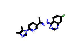 C/C(=N\Nc1ncnc2cc(F)ccc12)c1ccc(-n2cnc(C)c2C)nc1